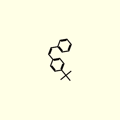 CC(C)(C)c1ccc(/C=C\c2ccccc2)cc1